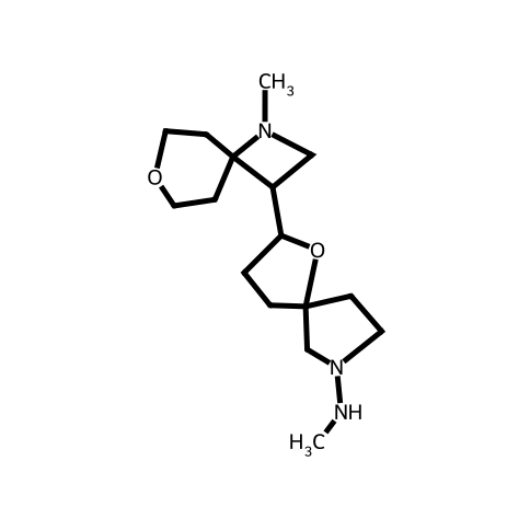 CNN1CCC2(CCC(C3CN(C)C34CCOCC4)O2)C1